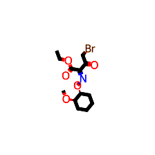 CCOC(=O)/C(=N\O[C@@H]1CCCC[C@H]1OC)C(=O)CBr